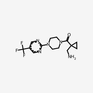 NCC1(C(=O)N2CCN(c3ncc(C(F)(F)F)cn3)CC2)CC1